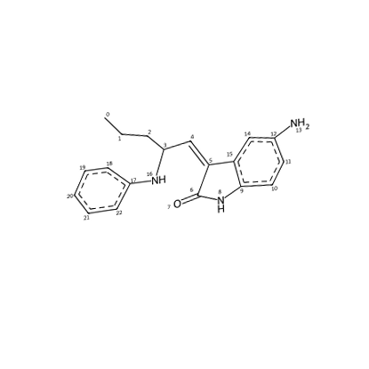 CCCC(C=C1C(=O)Nc2ccc(N)cc21)Nc1ccccc1